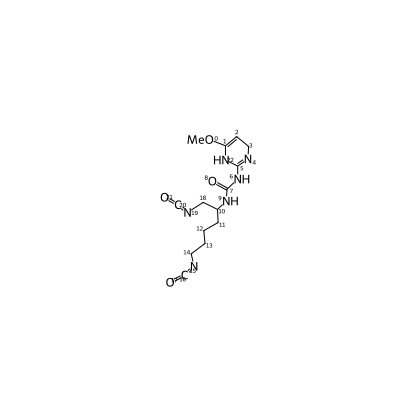 COC1=CCN=C(NC(=O)NC(CCCCN=C=O)CN=C=O)N1